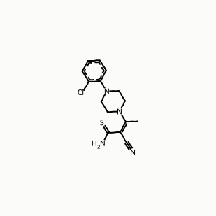 C/C(=C(\C#N)C(N)=S)N1CCN(c2ccccc2Cl)CC1